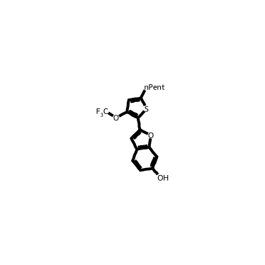 CCCCCc1cc(OC(F)(F)F)c(-c2cc3ccc(O)cc3o2)s1